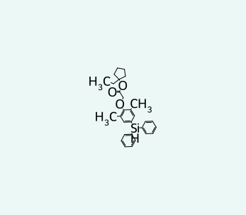 CCC1(OC(=O)COc2c(C)cc([SiH](c3ccccc3)c3ccccc3)cc2C)CCCC1